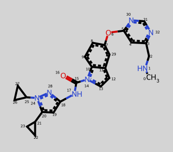 CNCc1cc(Oc2ccc3c(ccn3C(=O)Nc3cc(C4CC4)n(C4CC4)n3)c2)ncn1